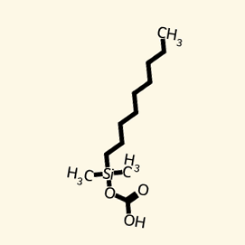 CCCCCCCCC[Si](C)(C)OC(=O)O